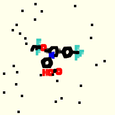 CCC(F)(F)OC[C@H]1CC[C@@H](c2ccc(C(F)(F)F)cc2)CN1c1ccccc1.O=CO